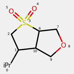 CC(C)C1CS(=O)(=O)C2COCC12